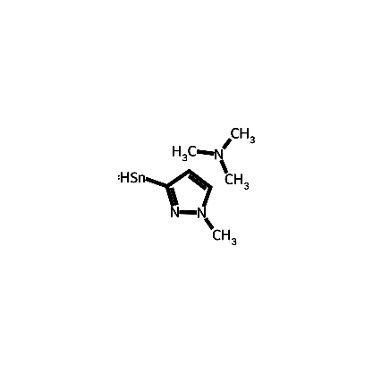 CN(C)C.Cn1cc[c]([SnH])n1